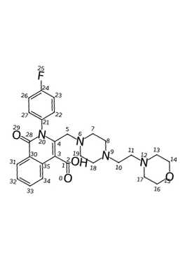 O=C(O)c1c(CN2CCN(CCN3CCOCC3)CC2)n(-c2ccc(F)cc2)c(=O)c2ccccc12